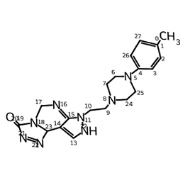 Cc1ccc(N2CCN(CCN3NC=C4C3=NCN3C(=O)N=NC43)CC2)cc1